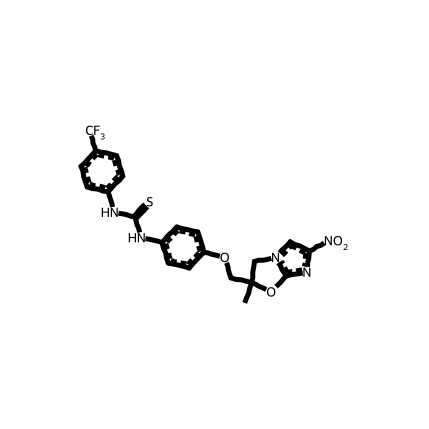 CC1(COc2ccc(NC(=S)Nc3ccc(C(F)(F)F)cc3)cc2)Cn2cc([N+](=O)[O-])nc2O1